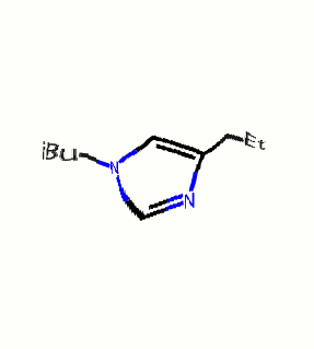 CCc1cn(C(C)CC)cn1